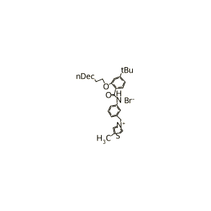 CCCCCCCCCCCCOc1cc(C(C)(C)C)ccc1C(=O)Nc1cccc(C[n+]2csc(C)c2)c1.[Br-]